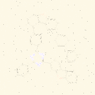 c1ccc(-c2ccc(-c3ccc4oc5cccc(-c6ccc(-c7nc(-c8ccccc8)nc(-c8ccc9c(c8)oc8ccccc89)n7)cc6)c5c4c3)cc2)cc1